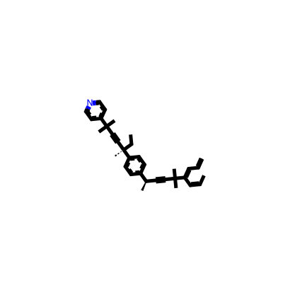 C=C/C=C(\C=C/C)C(C)(C)C#C[C@@H](C)c1ccc([C@@](C)(C#CC(C)(C)c2ccncc2)CC)cc1